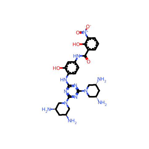 N[C@@H]1C[C@H](N)CN(c2nc(Nc3ccc(NC(=O)c4cccc([N+](=O)[O-])c4O)cc3O)nc(N3C[C@H](N)C[C@H](N)C3)n2)C1